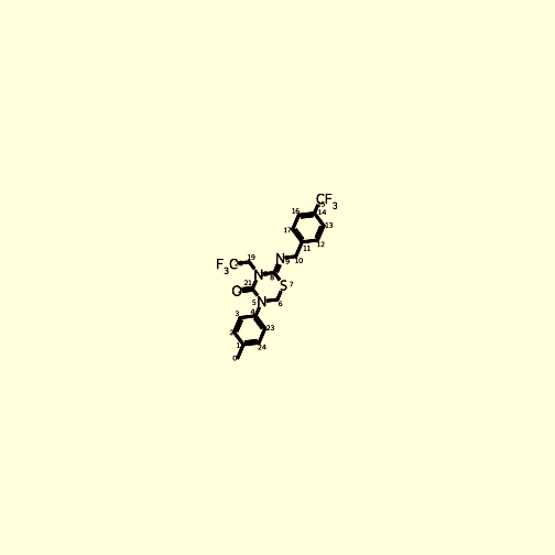 Cc1ccc(N2CSC(=NCc3ccc(C(F)(F)F)cc3)N(CC(F)(F)F)C2=O)cc1